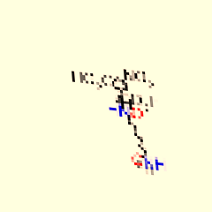 O=C(O)c1cc(C(=O)O)cc([N+](=O)[O-])c1.[3H]NC(=O)CCCCCCC(=O)N[3H]